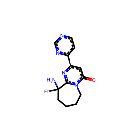 CCC1(N)CCCCn2c1nc(-c1ccncn1)cc2=O